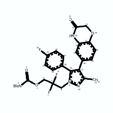 CNC(=O)OCC(F)(F)Cn1nc(C)c(-c2ccc3c(c2)NC(=O)CO3)c1-c1ccc(F)cc1